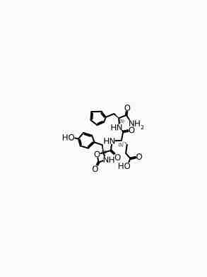 NC(=O)[C@H](Cc1ccccc1)NC(=O)[C@H](CCC(=O)O)NC(=O)[C@]1(Cc2ccc(O)cc2)NC(=O)O1